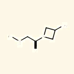 CC(C)NCC(=O)N1CC(O)C1